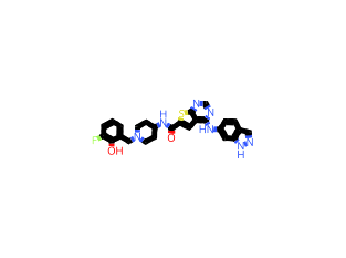 O=C(NC1CCN(Cc2cccc(F)c2O)CC1)c1cc2c(Nc3ccc4cn[nH]c4c3)ncnc2s1